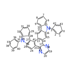 c1ccc(-n2c3ccccc3c3cc4c(cc32)c2nccnc2c2ccc3c(c5ccccc5n3-c3ccccc3)c42)cc1